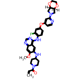 C=CC(=O)N1CCC(Nc2cc3c(Nc4ccc(Oc5ccnc(N6C[C@@H]7OCCO[C@@H]7C6)c5)cc4F)ncnc3cc2OC)CC1